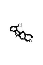 Clc1cccc2sc3cc4cnccc4cc3c12